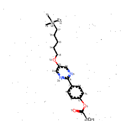 CCCCCCCCC(=O)Oc1ccc(-c2ncc(OCCCCC[Si](C)(C)CC)cn2)cc1